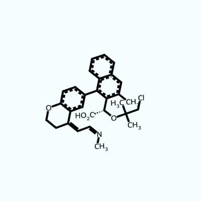 C/N=C\C=C1\CCOc2ccc(-c3c([C@H](OC(C)(C)CCl)C(=O)O)c(C)cc4ccccc34)cc21